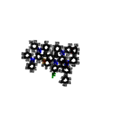 Fc1cc(-c2ccccc2)c(N2c3cc4c(cc3B3c5ccccc5N(c5ccccc5)c5cc(N(c6ccc(-c7ccccc7)cc6)c6cccc(-c7ccccc7)c6)cc2c53)B2c3ccccc3N(c3ccccc3)c3cc(N(c5ccccc5)c5ccccc5)cc(c32)S4)c(-c2ccccc2)c1